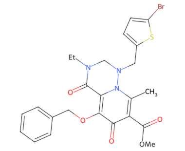 CCN1CN(Cc2ccc(Br)s2)n2c(C)c(C(=O)OC)c(=O)c(OCc3ccccc3)c2C1=O